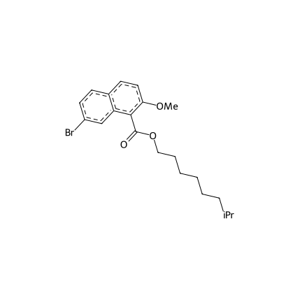 COc1ccc2ccc(Br)cc2c1C(=O)OCCCCCCC(C)C